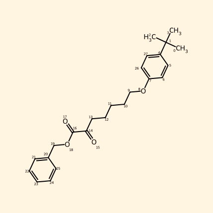 CC(C)(C)c1ccc(OCCCCCC(=O)C(=O)OCc2ccccc2)cc1